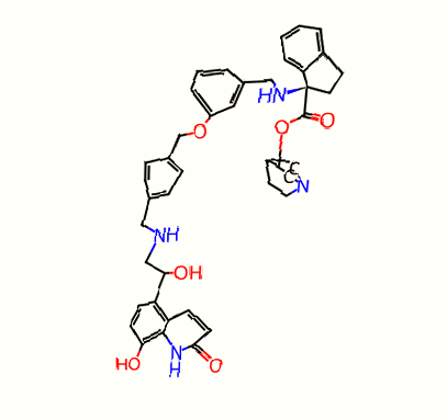 O=C(OC1CN2CCC1CC2)[C@@]1(NCc2cccc(OCc3ccc(CNCC(O)c4ccc(O)c5[nH]c(=O)ccc45)cc3)c2)CCc2ccccc21